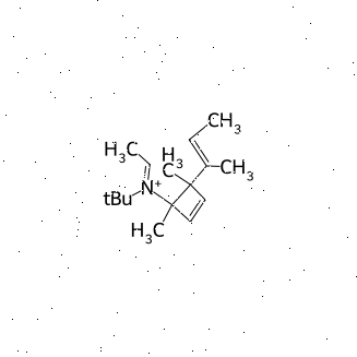 C/C=C(\C)C1(C)C=CC1(C)/[N+](=C/C)C(C)(C)C